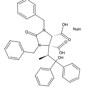 C[C@H](C(O)(c1ccccc1)c1ccccc1)[C@]1(C(=O)O)[C@@H](C(=O)O)N(Cc2ccccc2)C(=O)N1Cc1ccccc1.[NaH]